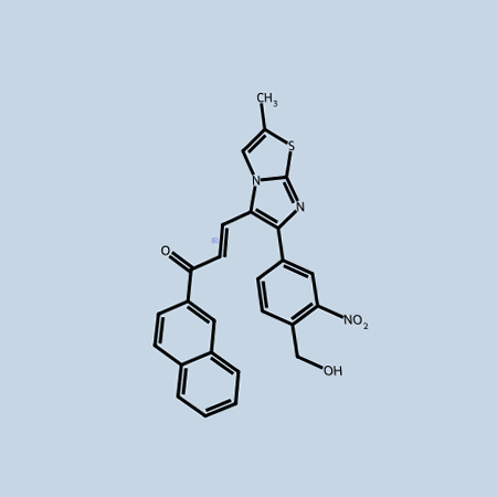 Cc1cn2c(/C=C/C(=O)c3ccc4ccccc4c3)c(-c3ccc(CO)c([N+](=O)[O-])c3)nc2s1